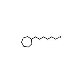 [O]CCCCCCC1CCCCCC1